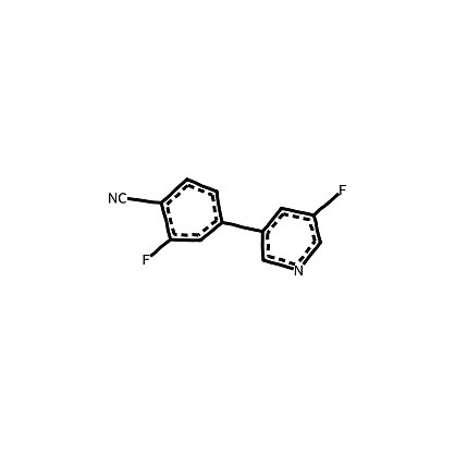 N#Cc1ccc(-c2cncc(F)c2)cc1F